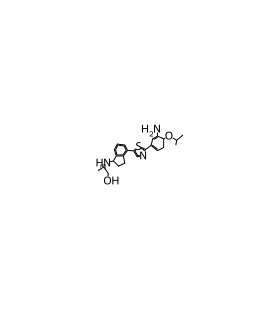 CC(C)OC1CC=C(c2ncc(-c3cccc4c3CCC4N[C@H](C)CO)s2)C=C1N